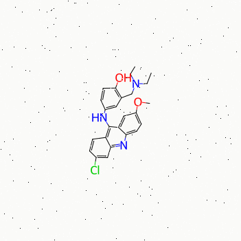 CCN(CC)Cc1cc(Nc2c3ccc(Cl)cc3nc3ccc(OC)cc23)ccc1O